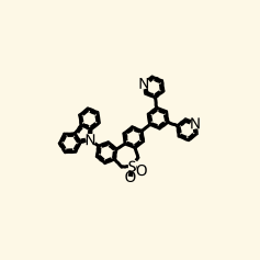 O=S1(=O)Cc2cc(-c3cc(-c4cccnc4)cc(-c4cccnc4)c3)ccc2-c2cc(-n3c4ccccc4c4ccccc43)ccc2C1